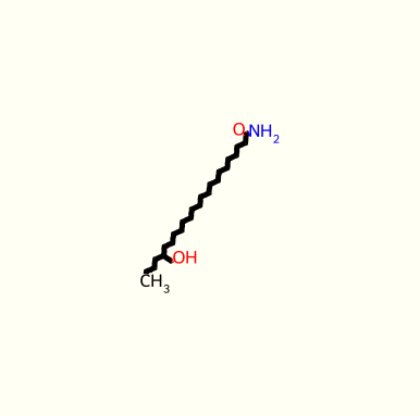 CCCCC(CO)CCCCCCCCCCCCCCCCCCC(N)=O